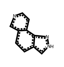 c1cc2c(ccc3c[nH]nc32)cn1